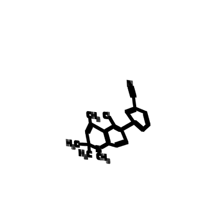 CC1=CC(C)(C)N(C)c2ccc(-c3cccc(C#N)c3)c(Cl)c21